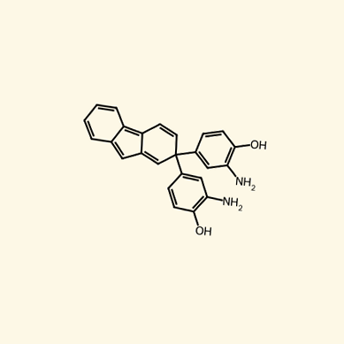 Nc1cc(C2(c3ccc(O)c(N)c3)C=CC3=c4ccccc4=CC3=C2)ccc1O